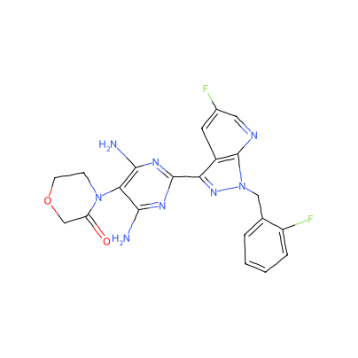 Nc1nc(-c2nn(Cc3ccccc3F)c3ncc(F)cc23)nc(N)c1N1CCOCC1=O